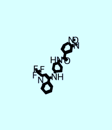 O=C(NC1CCC(Nc2cc(C(F)(F)F)nc3ccccc23)CC1)c1ccc2nonc2c1